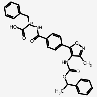 Cc1noc(-c2ccc(C(=O)N[C@H](Cc3ccccc3)C(=O)O)cc2)c1NC(=O)OC(C)c1ccccc1